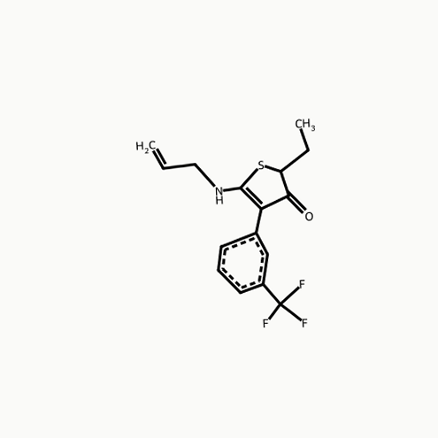 C=CCNC1=C(c2cccc(C(F)(F)F)c2)C(=O)C(CC)S1